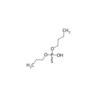 CCCCOP(O)(=S)OCCC